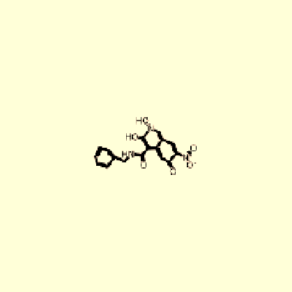 O=C(NCc1ccccc1)c1c2cc(=O)c([N+](=O)[O-])cc-2cn(O)c1O